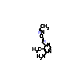 C/C=N/O/C=C/c1ncnc(N)c1C